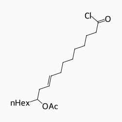 CCCCCCC(CC=CCCCCCCCC(=O)Cl)OC(C)=O